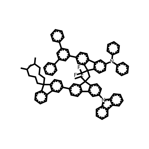 CCC1(CC2(C(F)(F)F)c3ccc(N(c4ccccc4)c4ccccc4)cc3-c3ccc(-c4cc(-c5ccccc5)cc(-c5ccccc5)c4)cc32)c2ccc(-n3c4ccccc4c4ccccc43)cc2-c2ccc(-c3ccc4c(c3)-c3ccccc3C4(CCCC(C)C)CCCC(C)C)cc21